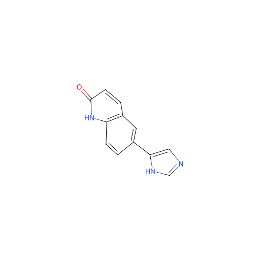 O=c1ccc2cc(-c3cnc[nH]3)ccc2[nH]1